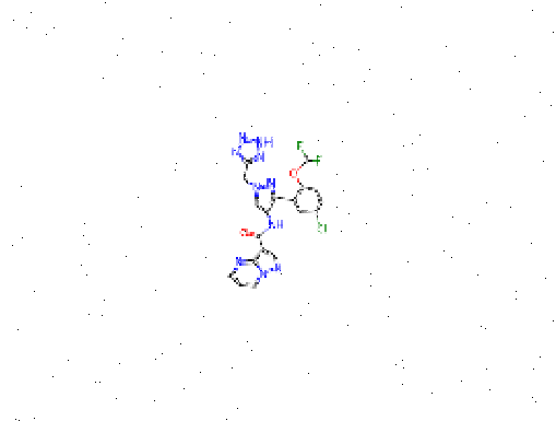 O=C(Nc1cn(Cc2nn[nH]n2)nc1-c1cc(Cl)ccc1OC(F)F)c1cnn2cccnc12